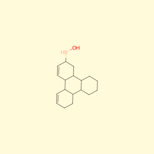 OBC1C=CC2C3C=CCCC3C3CCCCC3C2C1